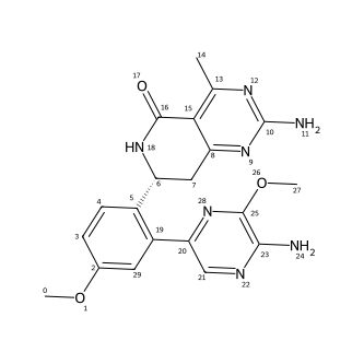 COc1ccc([C@H]2Cc3nc(N)nc(C)c3C(=O)N2)c(-c2cnc(N)c(OC)n2)c1